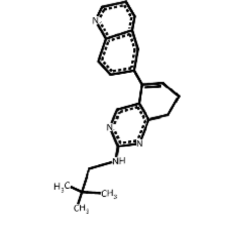 CC(C)(C)CNc1ncc2c(n1)CCC=C2c1ccc2ncccc2c1